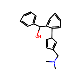 CN(C)CC1=CC(c2ccccc2C(O)c2ccccc2)C=C1